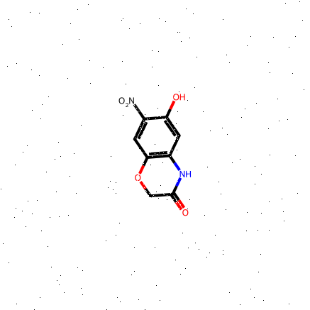 O=C1COc2cc([N+](=O)[O-])c(O)cc2N1